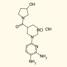 Cl.Cl.Nc1ccc(N2CCCC(C(=O)N3CCC(O)C3)C2)nc1N